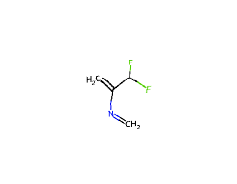 C=NC(=C)C(F)F